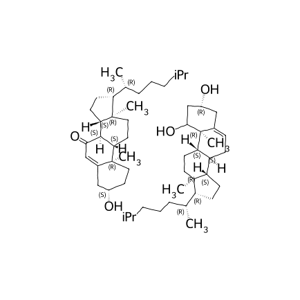 CC(C)CCC[C@@H](C)[C@H]1CC[C@H]2[C@@H]3C(=O)C=C4C[C@@H](O)CC[C@]4(C)[C@H]3CC[C@]12C.CC(C)CCC[C@@H](C)[C@H]1CC[C@H]2[C@@H]3CC=C4C[C@@H](O)CC(O)[C@]4(C)[C@H]3CC[C@]12C